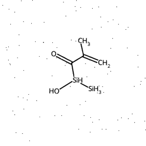 C=C(C)C(=O)[SiH](O)[SiH3]